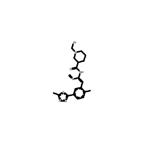 C=N/C(=C\c1cc(-c2nnc(C)s2)ccc1C)NC(=O)C1CCCN(CC(C)C)C1